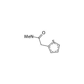 [CH2]NC(=O)Cc1cccs1